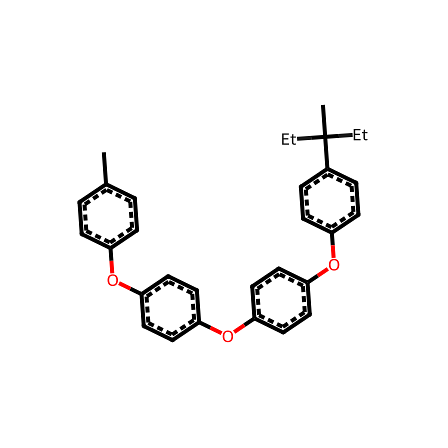 CCC(C)(CC)c1ccc(Oc2ccc(Oc3ccc(Oc4ccc(C)cc4)cc3)cc2)cc1